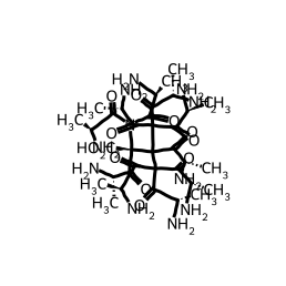 C[C@H](N)C(=O)N(C(=O)[C@H](C)N)[C@@](C(=O)O)(C(=O)[C@H](C)N)C(C(=O)[C@H](C)N)(C(C(=O)[C@H](C)N)(C(=O)[C@H](C)N)C(=O)[C@H](C)N)C(C(=O)[C@H](C)N)(C(=O)[C@H](C)N)C(=O)[C@H](C)N